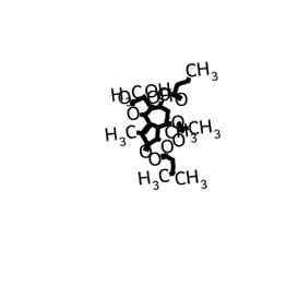 CCCC(=O)OC1CC(C)(OC(C)=O)C2C(=C(C)C(=O)C2OC(=O)CC(C)C)C2OC(=O)C(C)(O)C12O